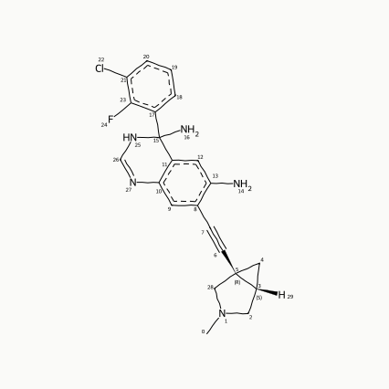 CN1C[C@H]2C[C@@]2(C#Cc2cc3c(cc2N)C(N)(c2cccc(Cl)c2F)NC=N3)C1